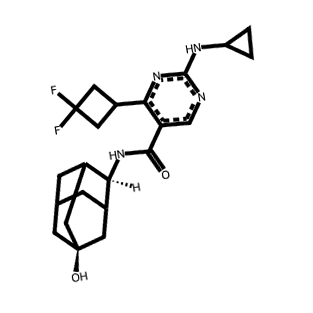 O=C(N[C@H]1C2CC3CC1C[C@@](O)(C3)C2)c1cnc(NC2CC2)nc1C1CC(F)(F)C1